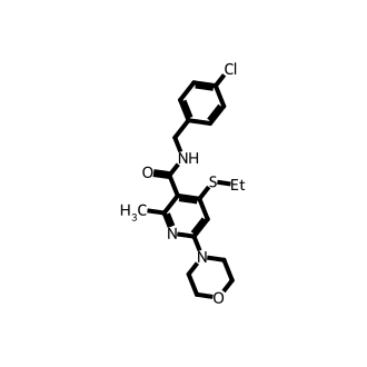 CCSc1cc(N2CCOCC2)nc(C)c1C(=O)NCc1ccc(Cl)cc1